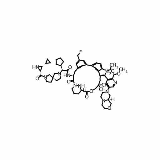 CCn1c(-c2cc(N3CCN4CCOC[C@@H]4C3)cnc2[C@H](C)OC)c2c3cc(ccc31)-c1cc(CF)cc(c1)C[C@H](NC(=O)[C@H](C1CCCC1)N1CC[C@]3(CCN(C(=O)[C@@H]4N[C@@H]4C4CC4)C3)C1)C(=O)N1CCC[C@H](N1)C(=O)OCC(C)(C)C2